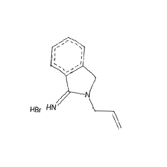 Br.C=CCN1Cc2ccccc2C1=N